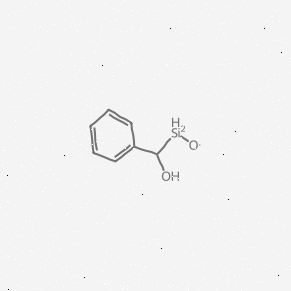 [O][SiH2]C(O)c1ccccc1